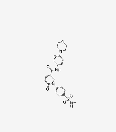 CNS(=O)(=O)c1ccc(-n2cc(C(=O)Nc3ccc(N4CCOCC4)nc3)ccc2=O)cc1